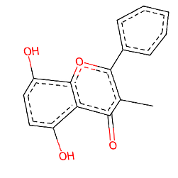 Cc1c(-c2ccccc2)oc2c(O)ccc(O)c2c1=O